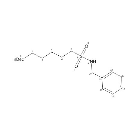 CCCCCCCCCCCCCC[CH]S(=O)(=O)NCc1ccccc1